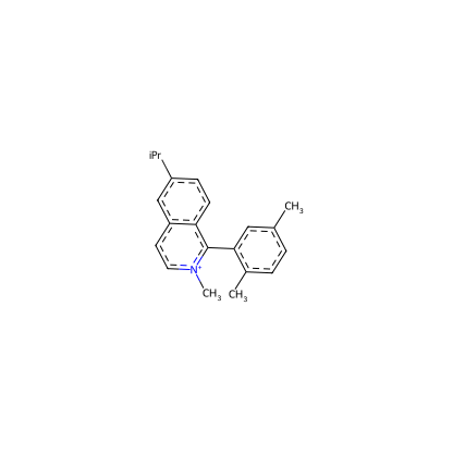 Cc1ccc(C)c(-c2c3ccc(C(C)C)cc3cc[n+]2C)c1